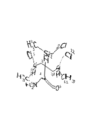 C[SiH](Cl)C(C(N)=O)([SiH](C)Cl)[SiH](C)Cl